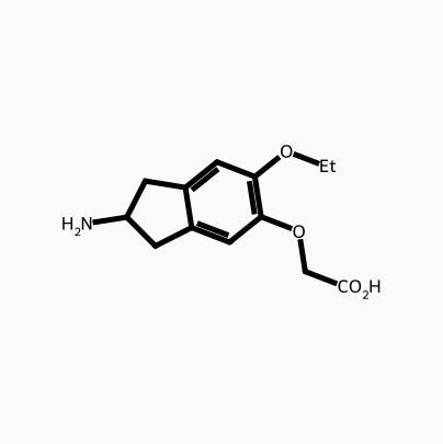 CCOc1cc2c(cc1OCC(=O)O)CC(N)C2